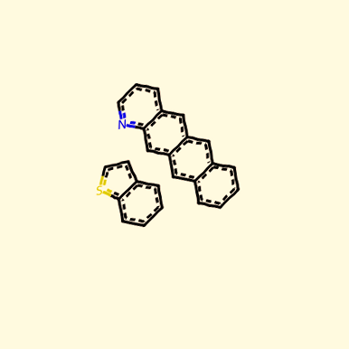 c1ccc2cc3cc4ncccc4cc3cc2c1.c1ccc2sccc2c1